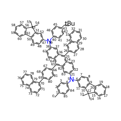 Cc1ccc(N(c2ccc3c(c2)C(C)(C)c2ccccc2-3)c2ccc3c(-c4ccc5ccccc5c4)c4cc(N(c5ccc(C(C)(C)C)cc5)c5ccc6c(c5)C(C)(C)c5ccccc5-6)ccc4c(-c4ccc(-c5cccc6ccccc56)cc4)c3c2)cc1